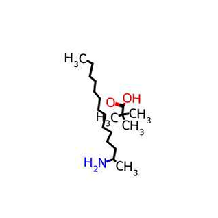 CC(C)(C)C(=O)O.CCCCCCCCCCCCC(C)N